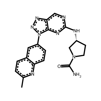 Cc1ccc2cc(-n3nnc4cnc(N[C@@H]5CCN(C(N)=O)C5)nc43)ccc2n1